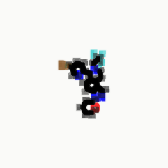 FC(F)(F)CN1CCc2c(ccc3c2cnn3C2CCCCO2)C1c1ccc(Br)cn1